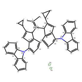 C[Si](C)=[Hf+2]([CH]1C(C2CC2)=Cc2c1cccc2-n1c2ccccc2c2ccccc21)[CH]1C(C2CC2)=Cc2c1cccc2-n1c2ccccc2c2ccccc21.[Cl-].[Cl-]